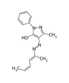 C/C=C\C=C(/C)N=Nc1c(C)nn(-c2ccccc2)c1O